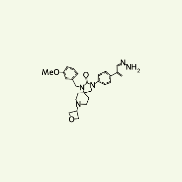 C=C(/C=N\N)c1ccc(N2CC3(CCN(C4COC4)CC3)N(Cc3cccc(OC)c3)C2=O)cc1